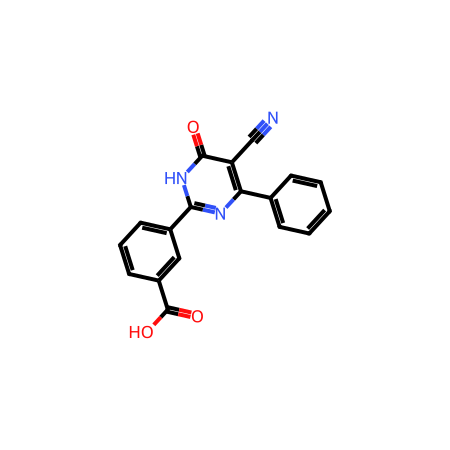 N#Cc1c(-c2ccccc2)nc(-c2cccc(C(=O)O)c2)[nH]c1=O